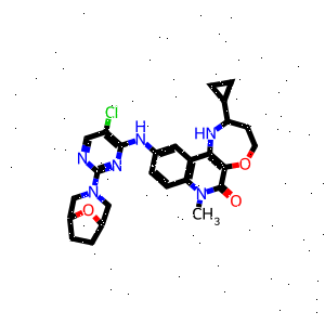 Cn1c(=O)c2c(c3cc(Nc4nc(N5CC6CCC(C5)O6)ncc4Cl)ccc31)NC(C1CC1)CCO2